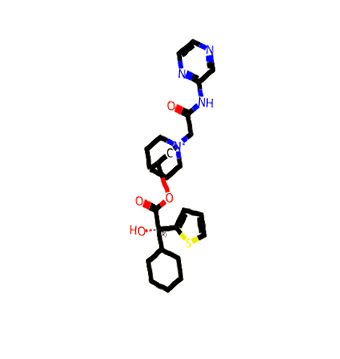 O=C(C[N+]12CCC(CC1)C(OC(=O)[C@@](O)(c1cccs1)C1CCCCC1)C2)Nc1cnccn1